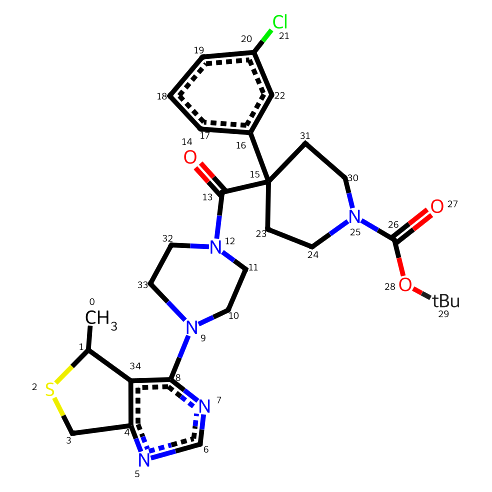 CC1SCc2ncnc(N3CCN(C(=O)C4(c5cccc(Cl)c5)CCN(C(=O)OC(C)(C)C)CC4)CC3)c21